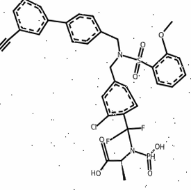 COc1ccccc1S(=O)(=O)N(Cc1ccc(-c2cccc(C#N)c2)cc1)Cc1ccc(C(F)(F)N([C@@H](C)C(=O)O)[PH](=O)O)c(Cl)c1